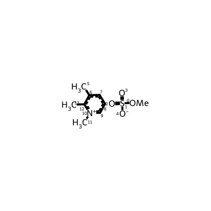 COS(=O)(=O)[O-].Cc1ccc[n+](C)c1C